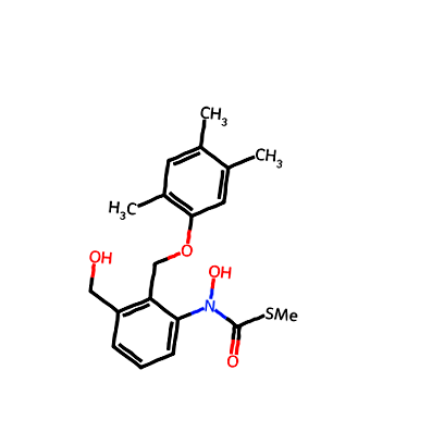 CSC(=O)N(O)c1cccc(CO)c1COc1cc(C)c(C)cc1C